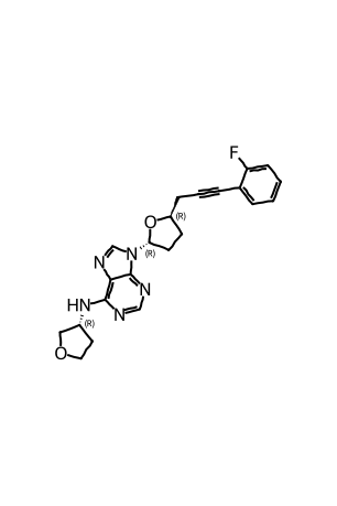 Fc1ccccc1C#CC[C@H]1CC[C@H](n2cnc3c(N[C@@H]4CCOC4)ncnc32)O1